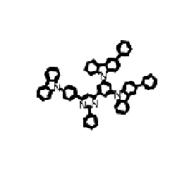 c1ccc(-c2ccc3c(c2)c2ccccc2n3-c2cc(-c3cc(-c4ccc(-n5c6ccccc6c6ccccc65)cc4)nc(-c4ccccc4)n3)cc(-n3c4ccccc4c4cc(-c5ccccc5)ccc43)c2)cc1